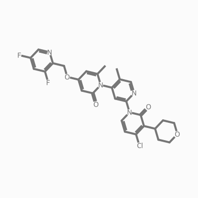 Cc1cnc(-n2ccc(Cl)c(C3CCOCC3)c2=O)cc1-n1c(C)cc(OCc2ncc(F)cc2F)cc1=O